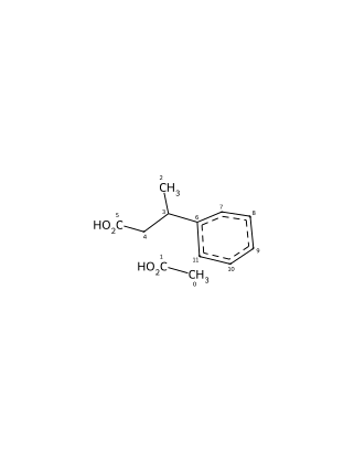 CC(=O)O.CC(CC(=O)O)c1ccccc1